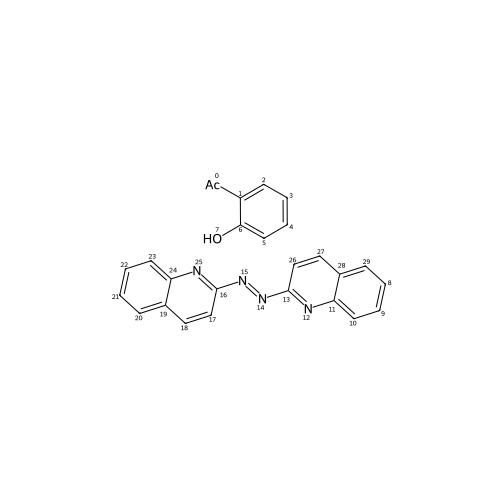 CC(=O)c1ccccc1O.c1ccc2nc(N=Nc3ccc4ccccc4n3)ccc2c1